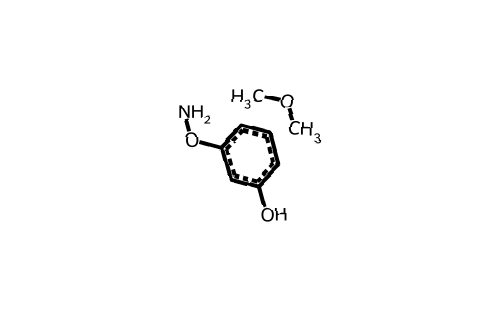 COC.NOc1cccc(O)c1